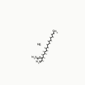 CCCCCCCCCCCCCCCCC(CN)OCC.F